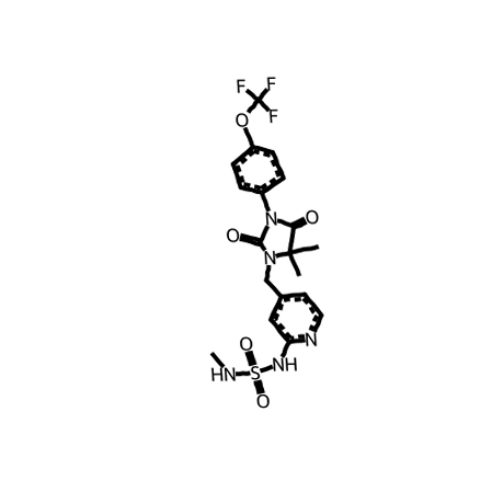 CNS(=O)(=O)Nc1cc(CN2C(=O)N(c3ccc(OC(F)(F)F)cc3)C(=O)C2(C)C)ccn1